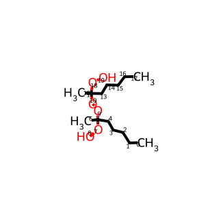 CCCCCC(C)(OO)OOC(C)(CCCCC)OO